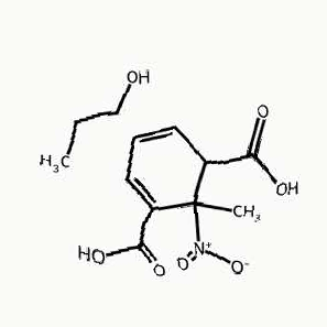 CC1([N+](=O)[O-])C(C(=O)O)=CC=CC1C(=O)O.CCCO